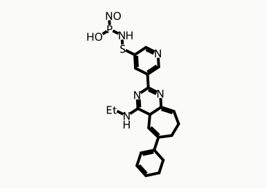 CCNC1=NC(c2cncc(SNP(O)N=O)c2)=NC2=CCCC(C3=CC=CCC3)=CC21